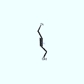 N#CC/C=C/CO